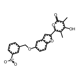 Cc1c(-c2cc3cc(OCc4cccc([N+](=O)[O-])c4)ccc3o2)oc(=O)c(C)c1O